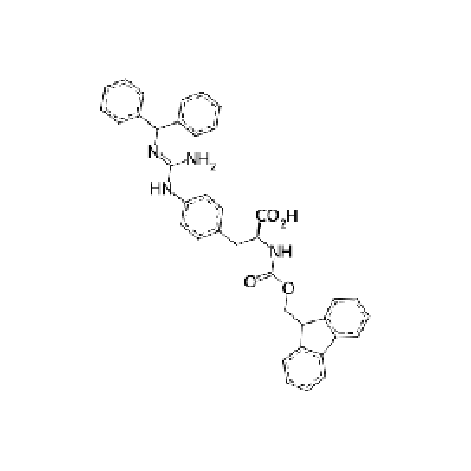 N/C(=N\C(c1ccccc1)c1ccccc1)Nc1ccc(C[C@H](NC(=O)OCC2c3ccccc3-c3ccccc32)C(=O)O)cc1